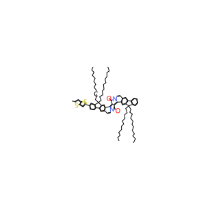 CCCCCCCCCCCCC1(CCCCCCCCCCCC)c2ccccc2-c2cc3c(cc21)C1=C2C(=O)N4C=Cc5cc6c(cc5C4=C2C(=O)N1C=C3)C(CCCCCCCCCCCC)(CCCCCCCCCCCC)c1cc(-c2cc3sc(C)cc3s2)ccc1-6